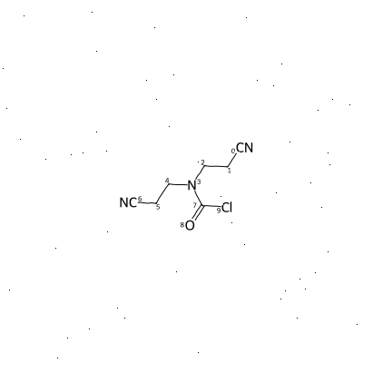 N#CCCN(CCC#N)C(=O)Cl